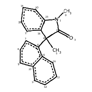 CN1C(=O)C(C)(c2cccc3ccccc23)c2ccccc21